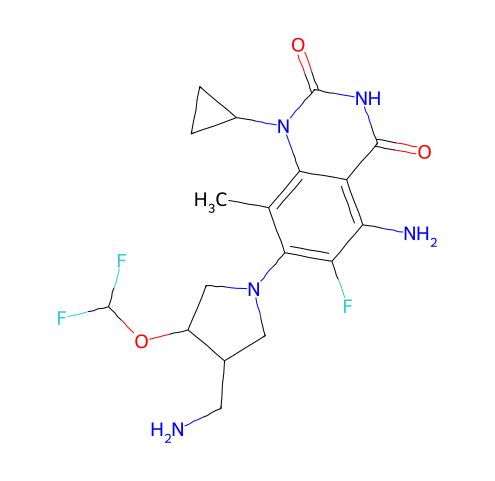 Cc1c(N2CC(CN)C(OC(F)F)C2)c(F)c(N)c2c(=O)[nH]c(=O)n(C3CC3)c12